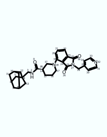 O=C(NCC12CC3CC(CC(C3)C1)C2)[C@@H]1CCCN(c2cccc3c2C(=O)N(Cc2ccncc2)C3=O)C1